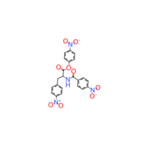 O=C(NC(Cc1ccc([N+](=O)[O-])cc1)C(=O)Oc1ccc([N+](=O)[O-])cc1)c1ccc([N+](=O)[O-])cc1